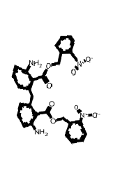 Nc1cccc(Cc2cccc(N)c2C(=O)OCc2ccccc2[N+](=O)[O-])c1C(=O)OCc1ccccc1[N+](=O)[O-]